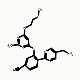 COCCNc1cc(Oc2cc(C#N)ccc2-c2ncc(CN)cn2)nc(C)n1